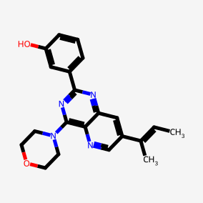 CC=C(C)c1cnc2c(N3CCOCC3)nc(-c3cccc(O)c3)nc2c1